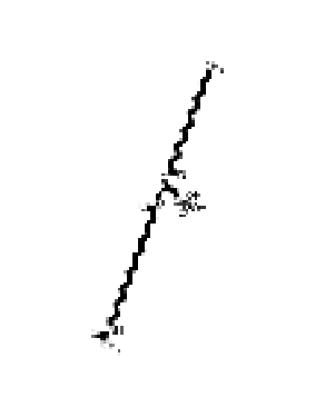 CCCCCCCCCCCCCC(=O)O[C@H](COC(=O)CCCCCCCCCCCCCCNC(C)=O)COP(=O)(O)O